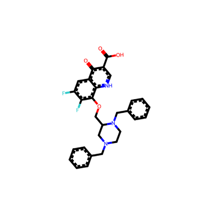 O=C(O)c1c[nH]c2c(OCC3CN(Cc4ccccc4)CCN3Cc3ccccc3)c(F)c(F)cc2c1=O